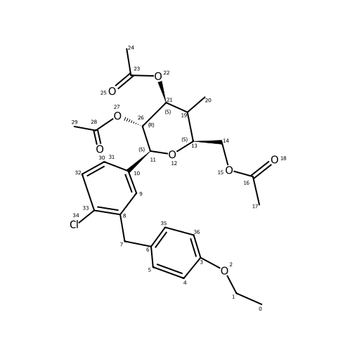 CCOc1ccc(Cc2cc([C@@H]3O[C@H](COC(C)=O)C(C)[C@H](OC(C)=O)[C@H]3OC(C)=O)ccc2Cl)cc1